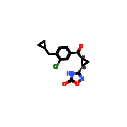 O=C(c1ccc(CC2CC2)c(Cl)c1)[C@H]1C[C@@H]1c1noc(=O)[nH]1